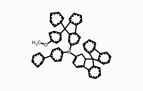 COc1ccc(C2(c3ccccc3)c3ccccc3-c3ccc(N(C4=CC=C5c6ccccc6C6(c7ccccc7-c7ccccc76)C5C4)c4ccc(-c5ccccc5)cc4)cc32)cc1